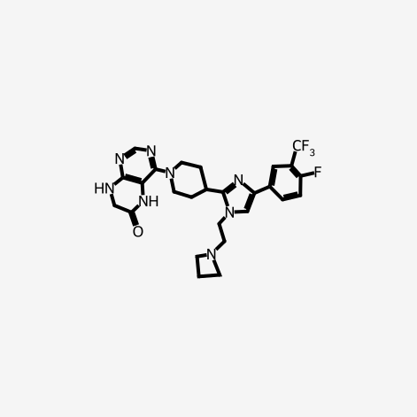 O=C1CNc2ncnc(N3CCC(c4nc(-c5ccc(F)c(C(F)(F)F)c5)cn4CCN4CCC4)CC3)c2N1